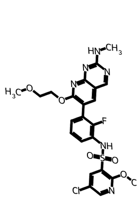 CNc1ncc2cc(-c3cccc(NS(=O)(=O)c4cc(Cl)cnc4OC)c3F)c(OCCOC)nc2n1